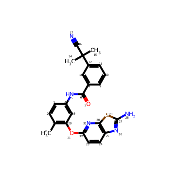 Cc1ccc(NC(=O)c2cccc(C(C)(C)C#N)c2)cc1Oc1ccc2nc(N)sc2n1